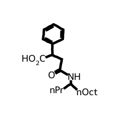 CCCCCCCCC(CCC)NC(=O)CC(C(=O)O)c1ccccc1